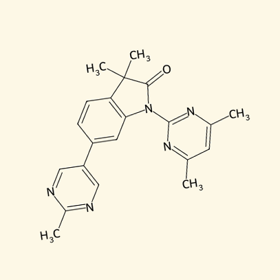 Cc1cc(C)nc(N2C(=O)C(C)(C)c3ccc(-c4cnc(C)nc4)cc32)n1